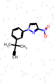 C#CC(C)(C)c1cccc(-n2ccc([N+](=O)[O-])n2)c1